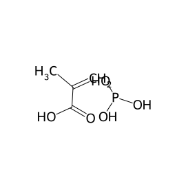 C=C(C)C(=O)O.OP(O)O